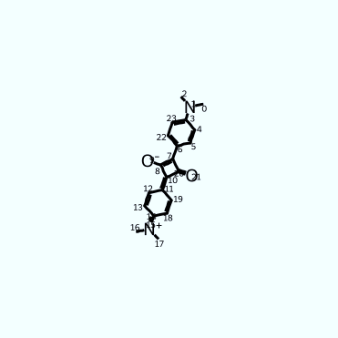 CN(C)c1ccc(C2=C([O-])C(=C3C=CC(=[N+](C)C)C=C3)C2=O)cc1